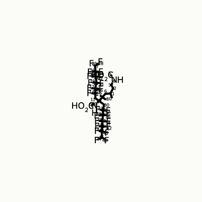 CC(CCNC(=O)O)CC(C)(C)C(CC(F)(F)C(F)(F)C(F)(F)C(F)(F)C(F)(F)C(F)F)(CC(F)(F)C(F)(F)C(F)(F)C(F)(F)C(F)(F)C(F)F)NC(=O)O